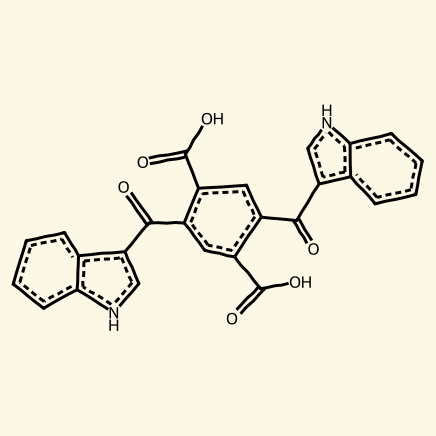 O=C(O)c1cc(C(=O)c2c[nH]c3ccccc23)c(C(=O)O)cc1C(=O)c1c[nH]c2ccccc12